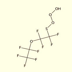 OOOSC(F)(F)C(F)(F)OC(F)(F)C(F)(F)F